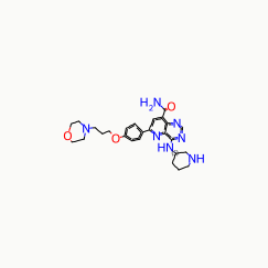 NC(=O)c1cc(-c2ccc(OCCCN3CCOCC3)cc2)nc2c(N[C@H]3CCCNC3)ncnc12